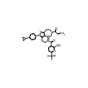 C=CC(=O)N1CCc2nn(-c3ccc(C4CC4)cc3)c3c2[C@@H](C1)N(C(=O)c1ccc(C(F)(F)F)nc1O)CC3